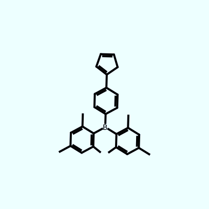 Cc1cc(C)c(B(c2ccc(C3=CC=CC3)cc2)c2c(C)cc(C)cc2C)c(C)c1